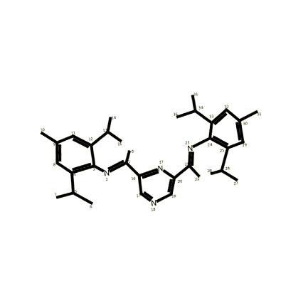 CC(=Nc1c(C(C)C)cc(C)cc1C(C)C)c1cncc(C(C)=Nc2c(C(C)C)cc(C)cc2C(C)C)n1